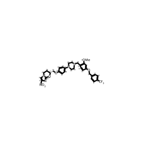 COc1cc(OCc2ccc(C(F)(F)F)cc2)ccc1CN1CCN(c2ccc(OC[C@H]3CCn4cc([N+](=O)[O-])nc4O3)cc2)CC1